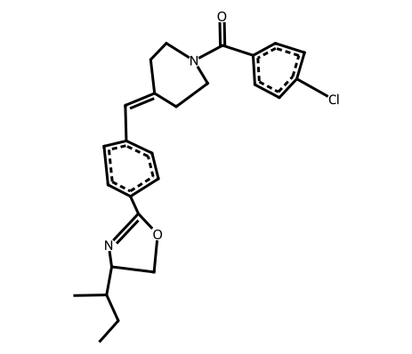 CCC(C)C1COC(c2ccc(C=C3CCN(C(=O)c4ccc(Cl)cc4)CC3)cc2)=N1